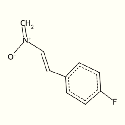 C=[N+]([O-])/C=C/c1ccc(F)cc1